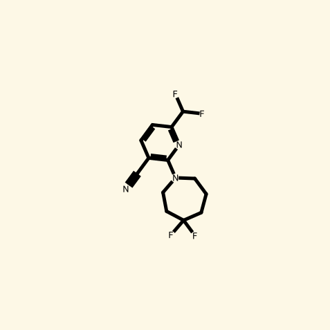 N#Cc1ccc(C(F)F)nc1N1CCCC(F)(F)CC1